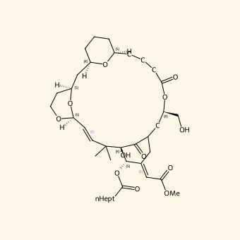 CCCCCCCC(=O)O[C@H]1/C(=C/C(=O)OC)CC2C[C@H](CO)OC(=O)CCC[C@@H]3CCC[C@H](C[C@@H]4CCO[C@H](/C=C/C(C)(C)[C@]1(O)C2=O)O4)O3